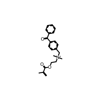 C=C(C)C(=O)OCC[N+](C)(C)Cc1ccc(C(=O)c2ccccc2)cc1